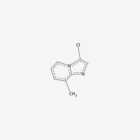 Cc1cccn2c(Cl)[c]nc12